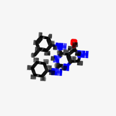 Cc1cccc(Nc2nc(NC3CCCCC3)nc3c2C(=O)NC3)c1